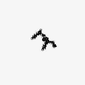 COc1cc(OCc2csc(-c3cccc(-c4c(OC)cc(OCc5csc(-c6cc(C)on6)n5)c5cc(-c6cn7nc(OC)sc7n6)oc45)c3OC)n2)c2cc(-c3cn4nc(OC)sc4n3)oc2c1